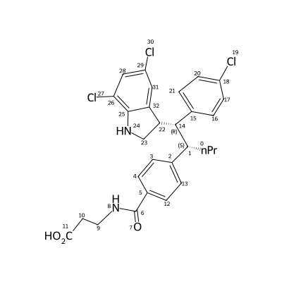 CCC[C@H](c1ccc(C(=O)NCCC(=O)O)cc1)[C@@H](c1ccc(Cl)cc1)C1CNc2c(Cl)cc(Cl)cc21